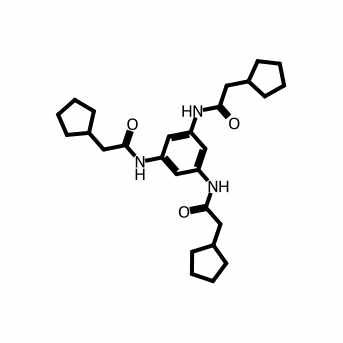 O=C(CC1CCCC1)Nc1cc(NC(=O)CC2CCCC2)cc(NC(=O)CC2CCCC2)c1